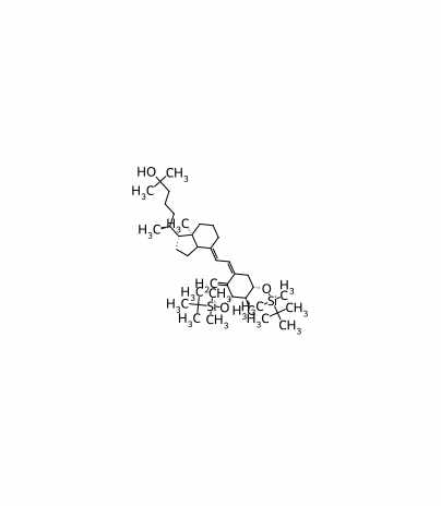 C=C1/C(=C\C=C2CCC[C@@]3(C)C2CC[C@@H]3[C@@H](C)CCCC(C)(C)O)C[C@H](O[Si](C)(C)C(C)(C)C)[C@@H](C)[C@@H]1O[Si](C)(C)C(C)(C)C